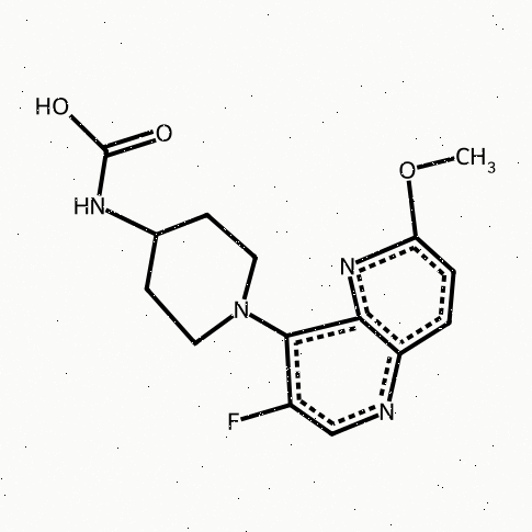 COc1ccc2ncc(F)c(N3CCC(NC(=O)O)CC3)c2n1